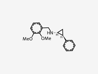 COc1cccc(CN[C@@H]2C[C@H]2c2ccccc2)c1OC